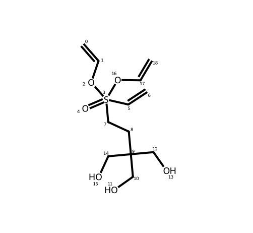 C=COS(=O)(C=C)(CCC(CO)(CO)CO)OC=C